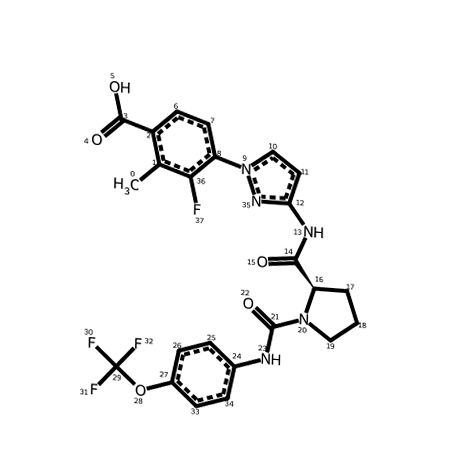 Cc1c(C(=O)O)ccc(-n2ccc(NC(=O)[C@H]3CCCN3C(=O)Nc3ccc(OC(F)(F)F)cc3)n2)c1F